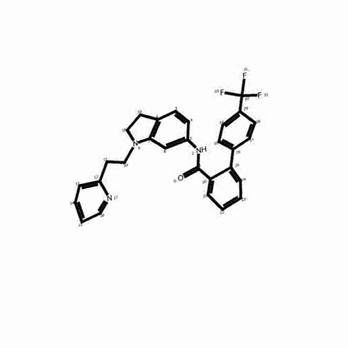 O=C(Nc1ccc2c(c1)N(CCc1ccccn1)CC2)c1ccccc1-c1ccc(C(F)(F)F)cc1